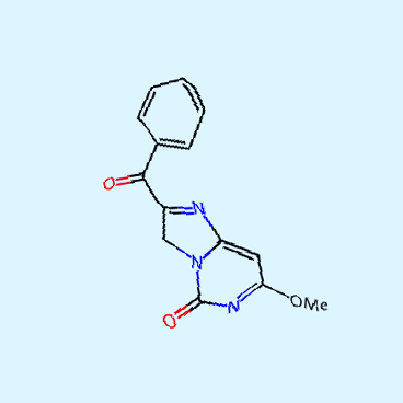 COc1cc2n(c(=O)n1)CC(C(=O)c1ccccc1)=N2